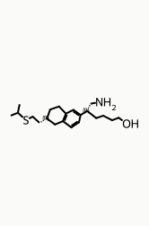 CC(C)SCC[C@@H]1CCc2cc([C@H](CN)CCCCO)ccc2C1